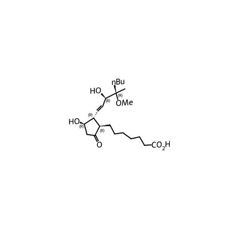 CCCC[C@@](C)(OC)[C@H](O)C=C[C@H]1[C@H](O)CC(=O)[C@@H]1CCCCCCC(=O)O